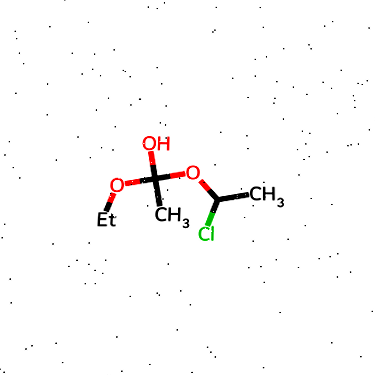 CCOC(C)(O)OC(C)Cl